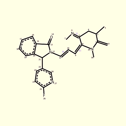 C=C1C(C)CC(=N/C)/C(=C\C=C\N2C(=O)c3ccccc3C2c2ccc(F)nc2)N1C